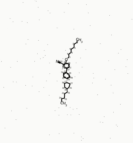 CCCCCCCCOc1ccc(-c2ccc([C@H]3CC[C@H](CCCCC)CC3)cc2)nc1C#N